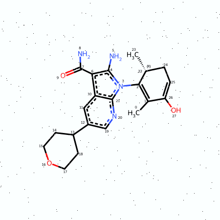 CC1=C(n2c(N)c(C(N)=O)c3cc(C4CCOCC4)cnc32)[C@H](C)CC=C1O